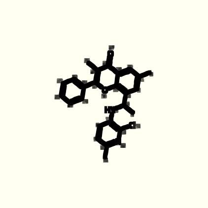 Cc1cc(C(C)Nc2ccc(C)nc2Cl)c2oc(-c3ccccc3)c(C)c(=O)c2c1